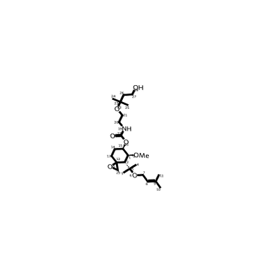 CO[C@H]1[C@H](C(C)(C)OCC=C(C)C)C2(CC[C@H]1OC(=O)NCCOC(C)(C)CCO)CO2